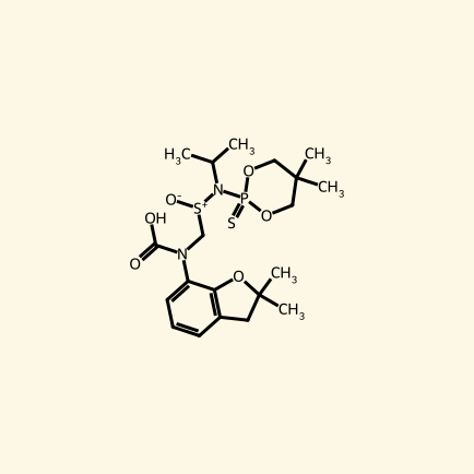 CC(C)N([S+]([O-])CN(C(=O)O)c1cccc2c1OC(C)(C)C2)P1(=S)OCC(C)(C)CO1